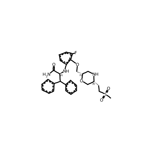 CS(=O)(=O)CC[C@@H]1CO[C@H](COc2c(F)cccc2N[C@H](C(N)=O)C(c2ccccc2)c2ccccc2)CN1